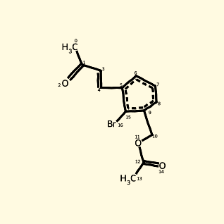 CC(=O)C=Cc1cccc(COC(C)=O)c1Br